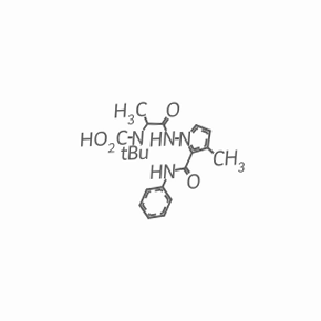 Cc1ccn(NC(=O)C(C)N(C(=O)O)C(C)(C)C)c1C(=O)Nc1ccccc1